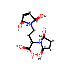 O=C(O)C(CCN1C(=O)C=CC1=O)N1C(=O)CCC1=O